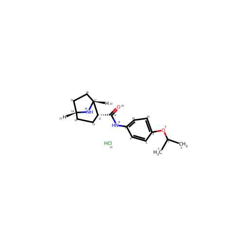 CC(C)Oc1ccc(NC(=O)[C@@H]2CC[C@@H]3CC[C@H]2N3)cc1.Cl